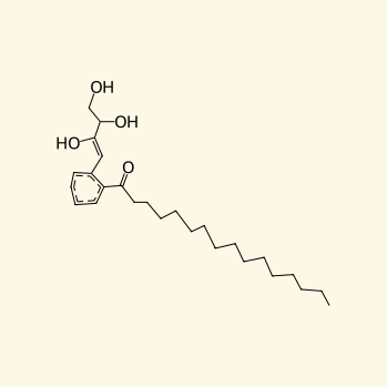 CCCCCCCCCCCCCCCC(=O)c1ccccc1C=C(O)C(O)CO